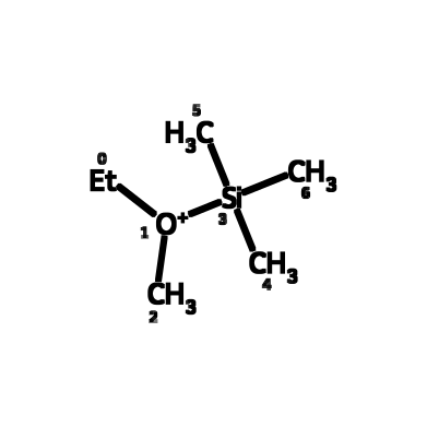 CC[O+](C)[Si](C)(C)C